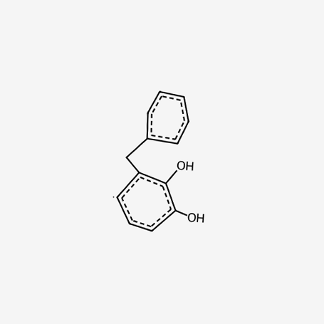 Oc1cc[c]c(Cc2ccccc2)c1O